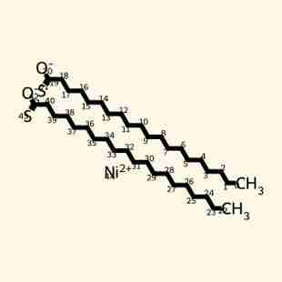 CCCCCCCCCCCCCCCCCCCC([O-])=S.CCCCCCCCCCCCCCCCCCCC([O-])=S.[Ni+2]